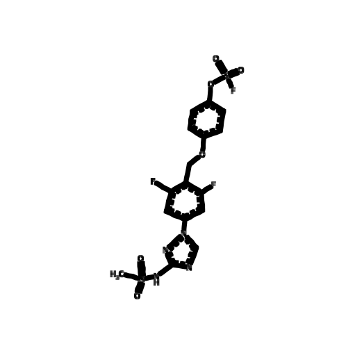 CS(=O)(=O)Nc1ncn(-c2cc(F)c(COc3ccc(OS(=O)(=O)F)cc3)c(F)c2)n1